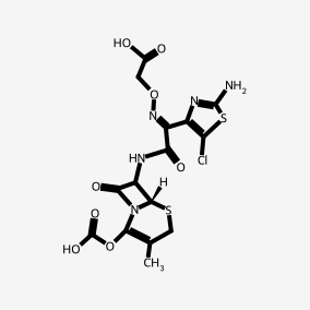 CC1=C(OC(=O)O)N2C(=O)C(NC(=O)C(=NOCC(=O)O)c3nc(N)sc3Cl)[C@@H]2SC1